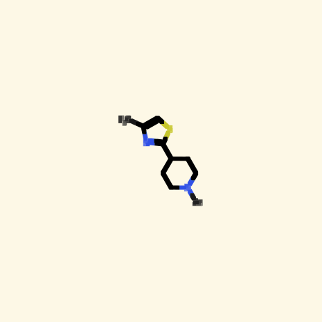 CC(=O)N1CCC(c2nc(C(F)(F)F)cs2)CC1